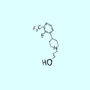 OCCCN1CCC(c2cccc(C(F)(F)F)c2F)CC1